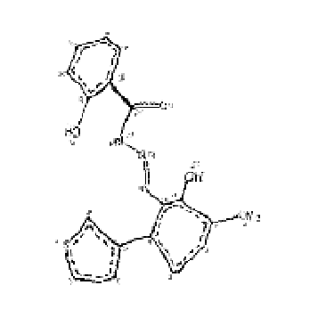 COc1ccc(-c2ccsc2)c(/C=N/NC(=O)c2ccccc2O)c1O